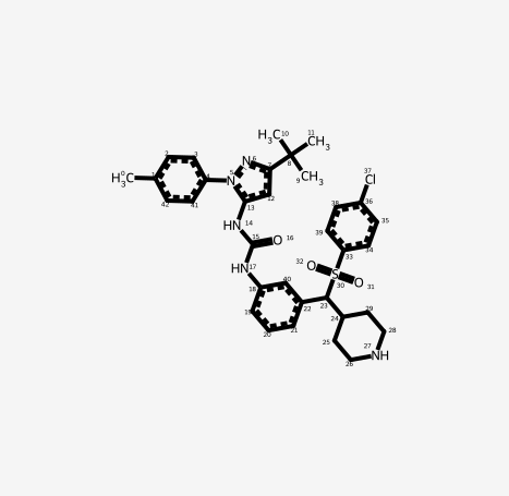 Cc1ccc(-n2nc(C(C)(C)C)cc2NC(=O)Nc2cccc(C(C3CCNCC3)S(=O)(=O)c3ccc(Cl)cc3)c2)cc1